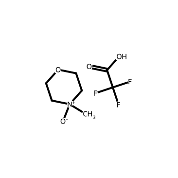 C[N+]1([O-])CCOCC1.O=C(O)C(F)(F)F